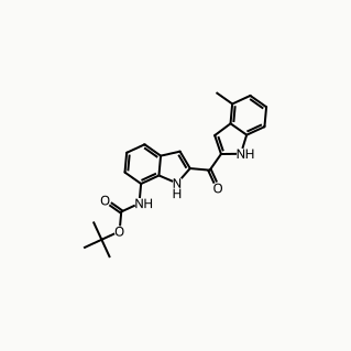 Cc1cccc2[nH]c(C(=O)c3cc4cccc(NC(=O)OC(C)(C)C)c4[nH]3)cc12